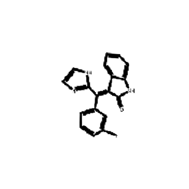 O=C1Nc2ccccc2C1=C(c1cccc(F)c1)c1ncc[nH]1